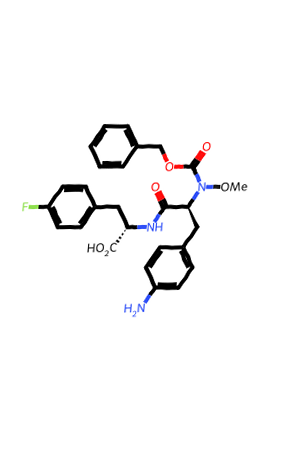 CON(C(=O)OCc1ccccc1)[C@@H](Cc1ccc(N)cc1)C(=O)N[C@@H](Cc1ccc(F)cc1)C(=O)O